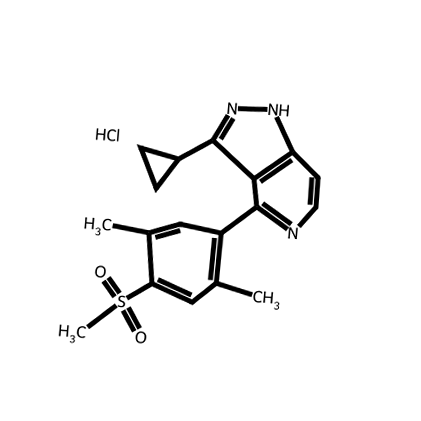 Cc1cc(S(C)(=O)=O)c(C)cc1-c1nccc2[nH]nc(C3CC3)c12.Cl